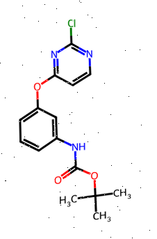 CC(C)(C)OC(=O)Nc1cccc(Oc2ccnc(Cl)n2)c1